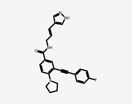 O=C(NC/C=C/c1cn[nH]c1)c1ccc(N2CCCC2)c(C#Cc2ccc(F)cc2)c1